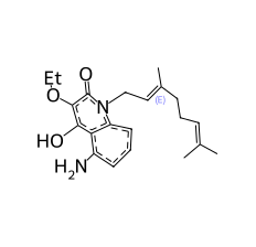 CCOc1c(O)c2c(N)cccc2n(C/C=C(\C)CCC=C(C)C)c1=O